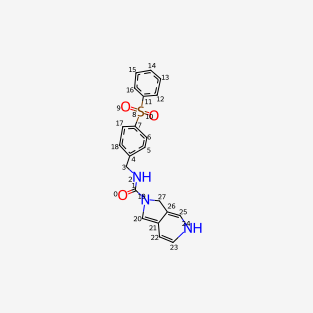 O=C(NCc1ccc(S(=O)(=O)c2ccccc2)cc1)N1C=C2C=CNC=C2C1